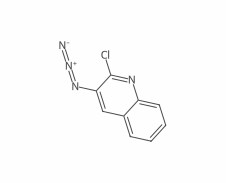 [N-]=[N+]=Nc1cc2ccccc2nc1Cl